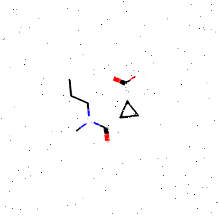 CCCN(C)C(=O)[C@H]1C[C@H]1C(=O)O